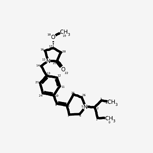 CCC(CC)N1CCC(=Cc2ccc(CN3C[C@H](OC)CC3=O)cc2)CC1